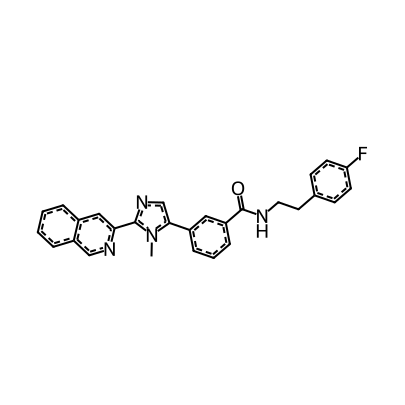 Cn1c(-c2cccc(C(=O)NCCc3ccc(F)cc3)c2)cnc1-c1cc2ccccc2cn1